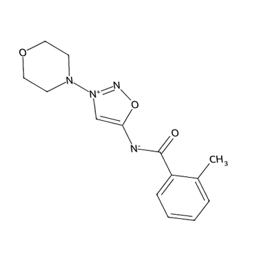 Cc1ccccc1C(=O)[N-]c1c[n+](N2CCOCC2)no1